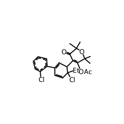 CCC1(Cl)C=CC(c2ccccc2Cl)=CC1C1=C(OC(C)=O)C(C)(C)OC(C)(C)C1=O